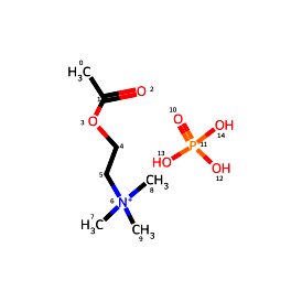 CC(=O)OCC[N+](C)(C)C.O=P(O)(O)O